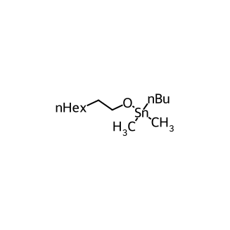 CCCCCCCC[O][Sn]([CH3])([CH3])[CH2]CCC